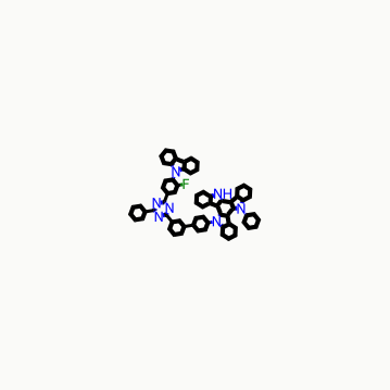 Fc1cc(-c2nc(-c3ccccc3)nc(-c3cccc(-c4ccc(-n5c6ccccc6c6c7c(c8ccccc8n7-c7ccccc7)c7[nH]c8ccccc8c7c65)cc4)c3)n2)ccc1-n1c2ccccc2c2ccccc21